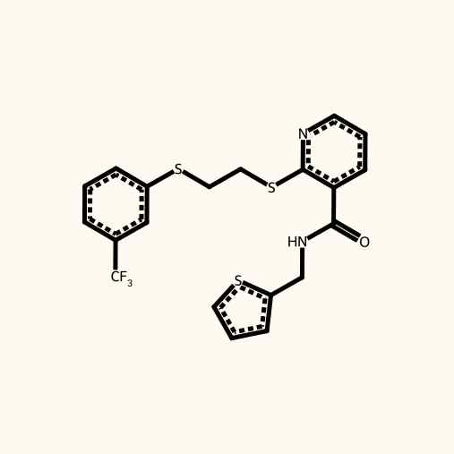 O=C(NCc1cccs1)c1cccnc1SCCSc1cccc(C(F)(F)F)c1